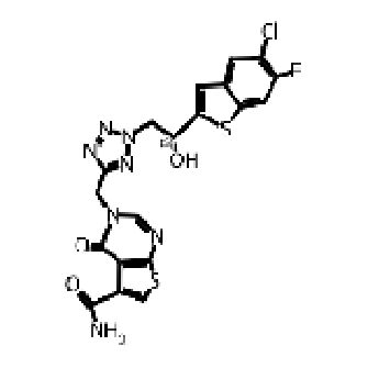 NC(=O)c1csc2ncn(Cc3nnn(C[C@H](O)c4cc5cc(Cl)c(F)cc5s4)n3)c(=O)c12